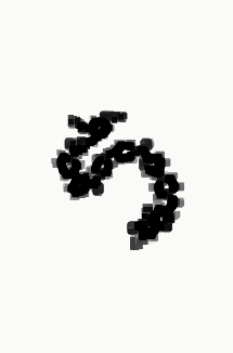 CCOc1cc(OC)ccc1CNCC(=O)N1CCCC(c2cccc(C(=O)N3CCN(CC4CCN(C(=O)c5ccc(N6CCN(Cc7cnc8cc(CC)c(=O)[nH]c8c7)CC6)cn5)CC4)CC3)c2)C1